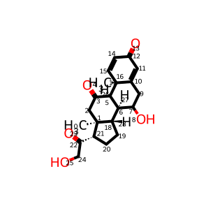 C[C@]12CC(=O)[C@H]3[C@@H](C(O)CC4=CC(=O)C=C[C@@]43C)[C@@H]1CC[C@@H]2C(=O)CO